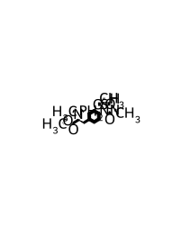 CNC(=O)N(c1ccc(C[C@@H](C(=O)OC)N(C)P)cc1)S(C)(=O)=O